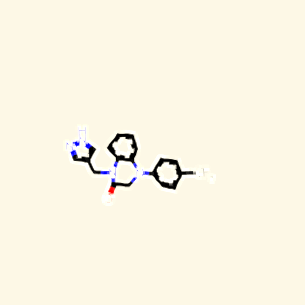 O=C1CN(c2ccc(C(F)(F)F)cc2)c2ccccc2N1Cc1cn[nH]c1